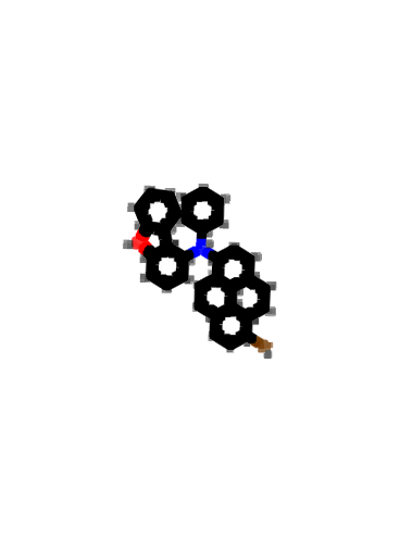 Brc1ccc2ccc3c(N(c4ccccc4)c4cccc5oc6ccccc6c45)ccc4ccc1c2c43